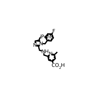 CCCC(C)c1cnc(CNCc2cc(C(=O)O)cc(C)n2)n1Cc1ccc(F)cc1